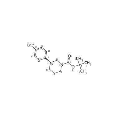 CC(C)(C)OC(=O)N1CCC[C@@H](c2ccc(Br)cc2)C1